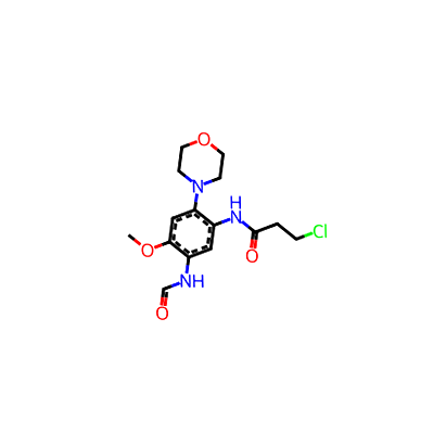 COc1cc(N2CCOCC2)c(NC(=O)CCCl)cc1NC=O